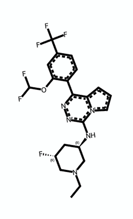 CCN1C[C@H](F)C[C@@H](Nc2nnc(-c3ccc(C(F)(F)F)cc3OC(F)F)c3cccn23)C1